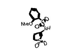 COc1ccccc1S(=O)(=O)NC1=CS(=O)(=O)C=C1